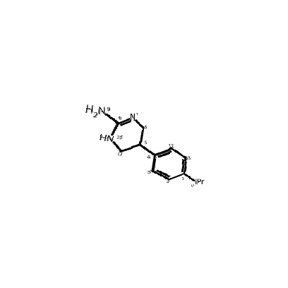 CC(C)c1ccc(C2CN=C(N)NC2)cc1